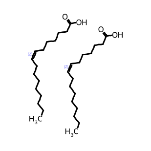 CCCCCCCC/C=C\CCCCCC(=O)O.CCCCCCCC/C=C\CCCCCC(=O)O